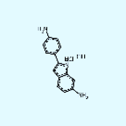 Cl.Cl.Nc1ccc(-c2cc3ccc(N)cc3[nH]2)cc1